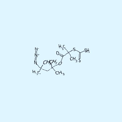 CC(C)(CC(C)(C)OC(=O)C(C)(C)SC(=S)S)N=[N+]=[N-]